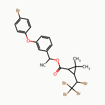 CC1(C)C(C(=O)OC(C#N)c2cccc(Oc3ccc(Br)cc3)c2)C1C(Br)C(Br)(Br)Br